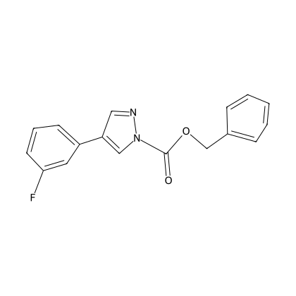 O=C(OCc1ccccc1)n1cc(-c2cccc(F)c2)cn1